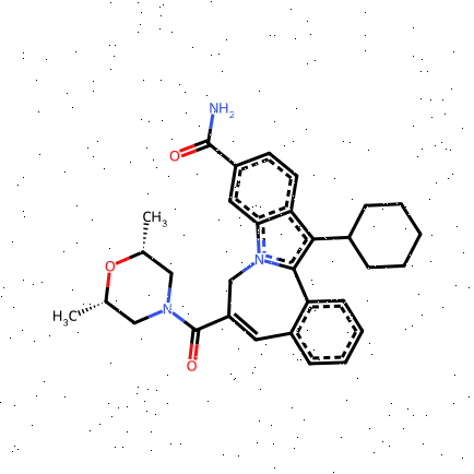 C[C@@H]1CN(C(=O)C2=Cc3ccccc3-c3c(C4CCCCC4)c4ccc(C(N)=O)cc4n3C2)C[C@H](C)O1